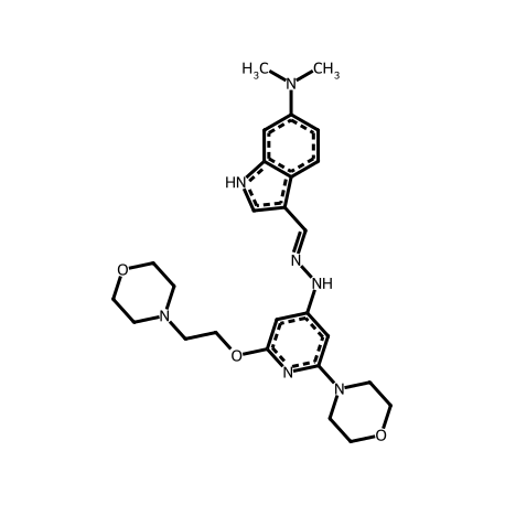 CN(C)c1ccc2c(/C=N/Nc3cc(OCCN4CCOCC4)nc(N4CCOCC4)c3)c[nH]c2c1